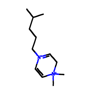 CC(C)CCC[N+]1=CC[N+](C)(C)C=C1